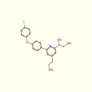 OCCc1cc(-c2ccc(Oc3ccc(F)cc3)cc2)nc(C(O)CO)c1